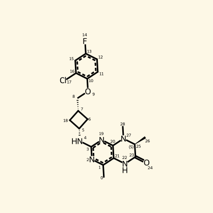 Cc1nc(N[C@H]2C[C@@H](COc3ccc(F)cc3Cl)C2)nc2c1NC(=O)[C@H](C)N2C